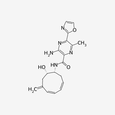 C=C1/C=C\C=C/C[C@@H](NC(=O)c2nc(C)c(-c3ncco3)nc2N)[C@@H](O)C1